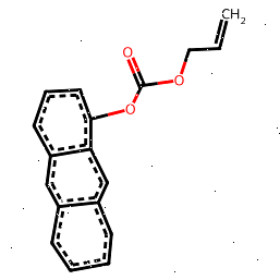 C=CCOC(=O)Oc1cccc2cc3ccccc3cc12